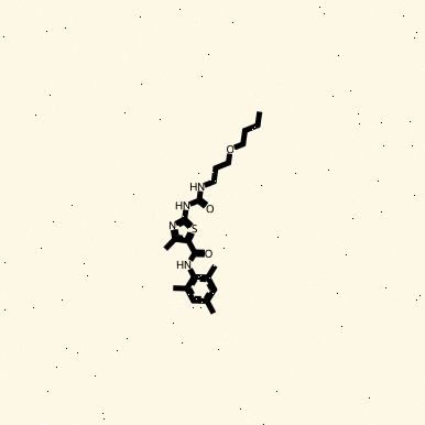 CCCCOCCCNC(=O)Nc1nc(C)c(C(=O)Nc2c(C)cc(C)cc2C)s1